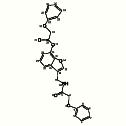 O=C(COc1ccccc1)NCc1coc2c(OC(=O)COc3ccccc3)cccc12